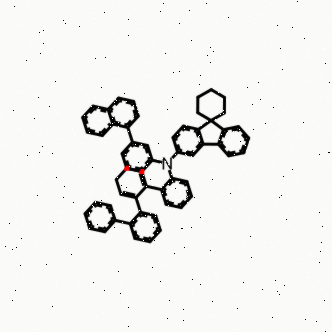 C1=C(c2ccccc2-c2ccccc2)C(c2ccccc2N(c2cccc(-c3cccc4ccccc34)c2)c2ccc3c(c2)-c2ccccc2C32CCCCC2)=CCC1